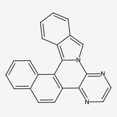 c1ccc2c(c1)ccc1c3nccnc3n3cc4ccccc4c3c21